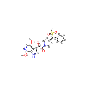 COc1cnc(OC)c2c1C(C(=O)C(=O)N1CCC(=C(c3ccccc3)S(C)(=O)=O)CC1)CN2